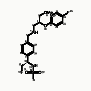 COC[C@H](CNCc1ccc([C@@H](CF)NS(C)(=O)=O)cc1)Oc1ccc(F)cn1